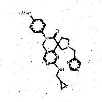 COc1ccc(N2Cc3cnc(NCC4CC4)nc3C3(CCN(Cc4cscn4)C3)C2=O)cc1